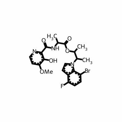 COc1ccnc(C(=O)NC(C)C(=O)OC(C)C(C)n2ccc3c(F)ccc(Br)c32)c1O